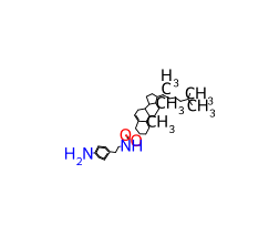 CC(C)CCC[C@@H](C)C1CCC2C3CC=C4CC(OC(=O)NCCc5ccc(N)cc5)CCC4(C)C3CCC21C